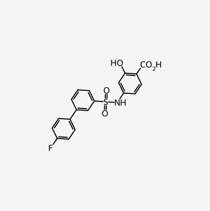 O=C(O)c1ccc(NS(=O)(=O)c2cccc(-c3ccc(F)cc3)c2)cc1O